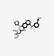 C#Cc1cccc(Nc2ncnc3cc(O[C@H]4CCOC4)c(NC(=O)CP(=O)(OCC)OCC)cc23)c1